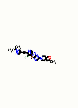 CC(C)n1cc(C#Cc2nccc(Sc3ncc(N4CCC5(CC4)CO[C@@H](C)C5)nc3N)c2Cl)cn1